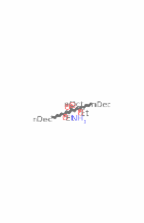 CCCCCCCCCCCCCCCC(CCC(CCC(CCCCCCCCCCCCCCC)OCC)C(=O)OCCCCCCCC)OCC.N